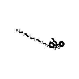 CCCCC1(c2ccc(OCCOCCOCCOCCOCCO)cc2)C(=O)Oc2ccccc21